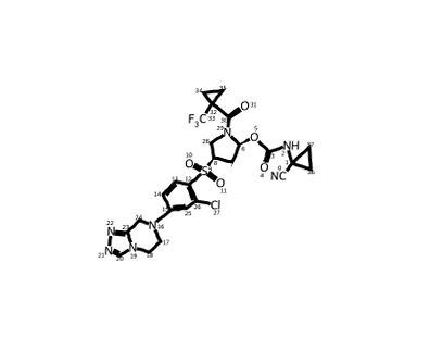 N#CC1(NC(=O)O[C@H]2C[C@@H](S(=O)(=O)c3ccc(N4CCn5cnnc5C4)cc3Cl)CN2C(=O)C2(C(F)(F)F)CC2)CC1